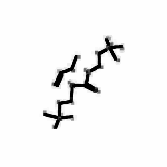 C[Si](C)(C)CCOC(=O)OCC[Si](C)(C)C.[CH]=CCC